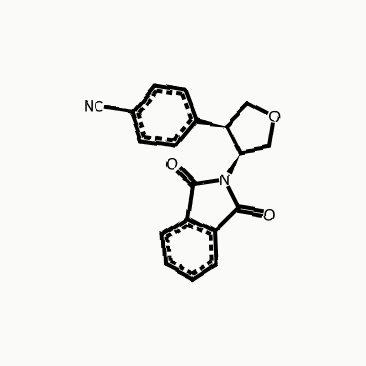 N#Cc1ccc([C@H]2COC[C@H]2N2C(=O)c3ccccc3C2=O)cc1